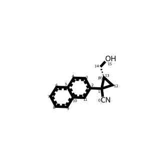 N#CC1(c2ccc3ccccc3c2)C[C@H]1CO